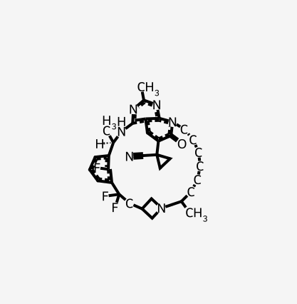 Cc1nc2c3cc(C4(C#N)CC4)c(=O)n(c3n1)CCCCCCC(C)N1CC(C1)CC(F)(F)c1cccc(c1F)[C@@H](C)N2